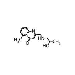 Cc1cccc2nc(CNC[C@H](C)O)cc(=O)n12